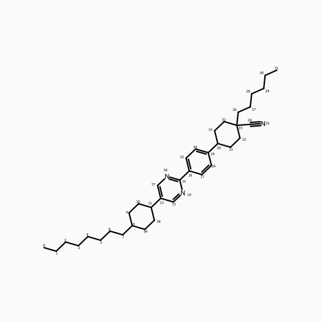 CCCCCCCCC1CCC(c2cnc(-c3ccc(C4CCC(C#N)(CCCCCC)CC4)cc3)nc2)CC1